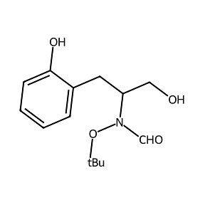 CC(C)(C)ON(C=O)C(CO)Cc1ccccc1O